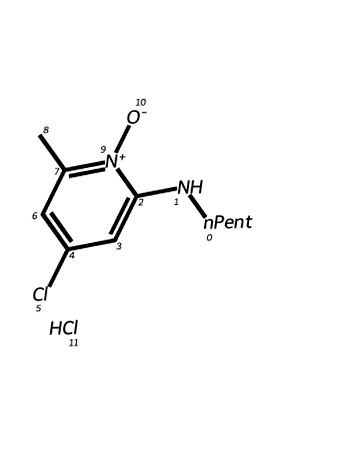 CCCCCNc1cc(Cl)cc(C)[n+]1[O-].Cl